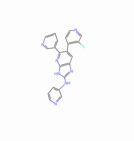 Fc1cnccc1-c1cc2nc(Nc3cccnc3)[nH]c2nc1-c1cccnc1